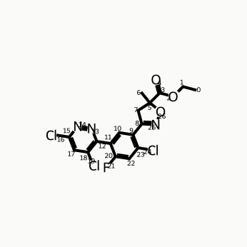 CCOC(=O)C1(C)CC(c2cc(-c3nnc(Cl)cc3Cl)c(F)cc2Cl)=NO1